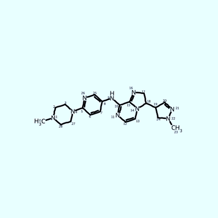 CN1CCN(c2ccc(NC3=NC=CN4C3=NCC4C3C=NN(C)C3)cn2)CC1